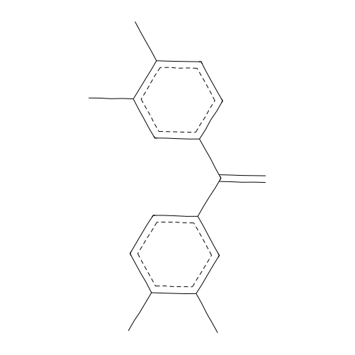 C=C(c1ccc(C)c(C)c1)c1ccc(C)c(C)c1